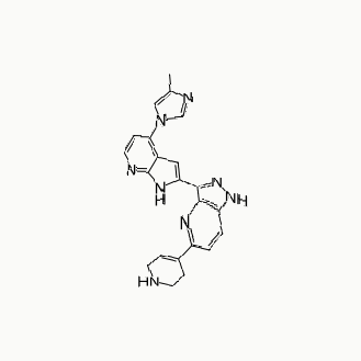 Cc1cn(-c2ccnc3[nH]c(-c4n[nH]c5ccc(C6=CCNCC6)nc45)cc23)cn1